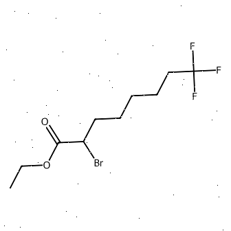 CCOC(=O)C(Br)CCCCCC(F)(F)F